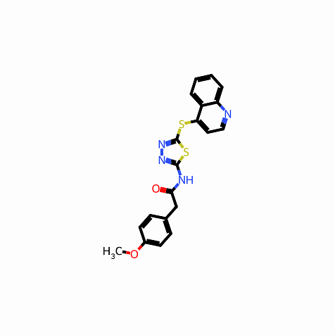 COc1ccc(CC(=O)Nc2nnc(Sc3ccnc4ccccc34)s2)cc1